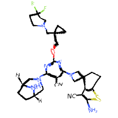 N#Cc1c(N2C[C@H]3CC[C@@H](C2)N3)nc(OCC2(CN3CCC(F)(F)C3)CC2)nc1N1CC2(CCc3sc(N)c(C#N)c32)C1